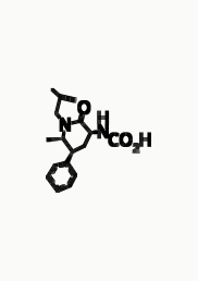 C=C(C)CN1C(=O)[C@@H](NC(=O)O)C[C@@H](c2ccccc2)[C@H]1C